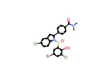 CN(C)C(=O)c1ccc(-c2cc3cc(Cl)ccc3n2[S+]([O-])c2cc(Br)cc(Cl)c2O)cc1